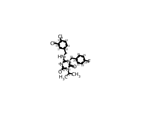 CC(C)n1c(=O)nc(NCc2ccc(Cl)c(Cl)c2)n(Cc2ccc(F)cc2)c1=O